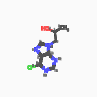 CC(O)Cn1cnc2c(Cl)ncnc21